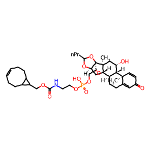 CCCC1O[C@@H]2C[C@H]3[C@@H]4CCC5=CC(=O)C=C[C@]5(C)[C@H]4[C@@H](O)C[C@]3(C)[C@]2(C(=O)COP(=O)(O)OCCNC(=O)OCC2C3CC/C=C\CCC32)O1